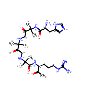 CC(=O)[C@H](CCCNC(=N)N)NC(=O)C(C)(C)NCC(=O)C(C)(C)NCC(=O)C(C)(C)NC(=O)[C@@H](N)Cc1cnc[nH]1